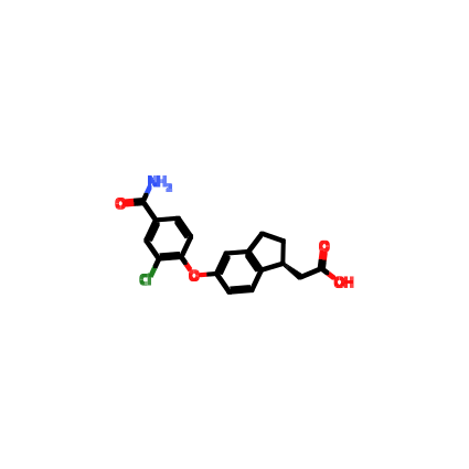 NC(=O)c1ccc(Oc2ccc3c(c2)CC[C@H]3CC(=O)O)c(Cl)c1